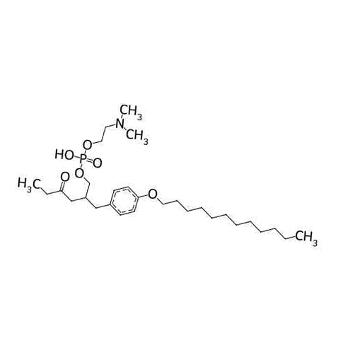 CCCCCCCCCCCCOc1ccc(CC(COP(=O)(O)OCCN(C)C)CC(=O)CC)cc1